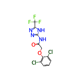 O=C(COc1c(Cl)cccc1Cl)Nc1nnc(C(F)(F)F)[nH]1